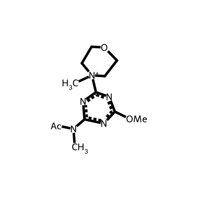 COc1nc(N(C)C(C)=O)nc([N+]2(C)CCOCC2)n1